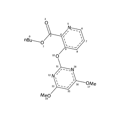 CCCCOC(=O)c1ncccc1Oc1nc(OC)cc(OC)n1